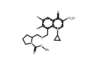 CCOC(=O)c1cn(C2CC2)c2c(CSCC3CCCN3C(=O)OC(C)(C)C)c(F)c(F)cc2c1=O